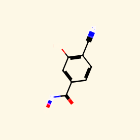 N#Cc1ccc(C(=O)N=O)cc1O